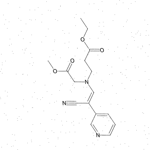 CCOC(=O)CCN(C=C(C#N)c1cccnc1)CC(=O)OC